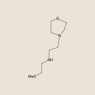 CSCCNCCN1CCOCC1